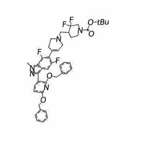 Cn1nc(-c2ccc(OCc3ccccc3)nc2OCc2ccccc2)c2cc(F)c(C3=CCN(CC4CCN(C(=O)OC(C)(C)C)CC4(F)F)CC3)c(F)c21